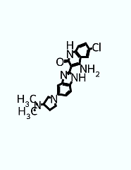 CN(C)C1CCN(c2ccc3[nH]c(-c4c(N)c5cc(Cl)ccc5[nH]c4=O)nc3c2)C1